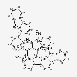 N#Cc1cc(C#N)c(-n2c3ccccc3c3ccc4c5ccccc5n(-c5ccccc5)c4c32)c(-c2ccccc2)c1-n1c2ccccc2c2c3oc4ccccc4c3ccc21